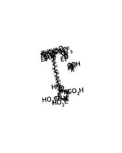 CCOc1ccc(C(=O)N2CCN(c3ccc(-c4cccnc4OCC)nc3CNCCCCCCCCCCCCCCCNC(=O)CN3CCN(CC(=O)O)CCN(CC(=O)O)CCN(CC(=O)O)CC3)[C@H](CC)C2)c(C(F)(F)F)n1.O=C(O)C(F)(F)F